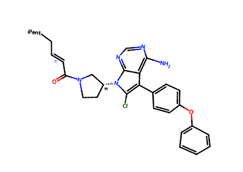 CCCC(C)C/C=C/C(=O)N1CC[C@@H](n2c(Cl)c(-c3ccc(Oc4ccccc4)cc3)c3c(N)ncnc32)C1